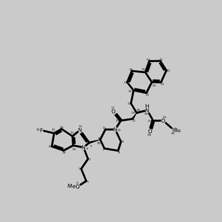 COCCCn1c([C@@H]2CCCN(C(=O)C[C@@H](Cc3ccc4ccccc4c3)NC(=O)OC(C)(C)C)C2)nc2cc(F)ccc21